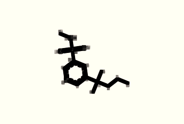 CCCC(C)(C)c1cncc(S(=O)(=O)NC)c1